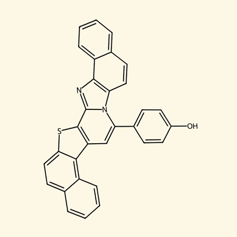 Oc1ccc(-c2cc3c(sc4ccc5ccccc5c43)c3nc4c5ccccc5ccc4n23)cc1